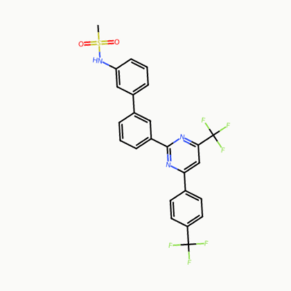 CS(=O)(=O)Nc1cccc(-c2cccc(-c3nc(-c4ccc(C(F)(F)F)cc4)cc(C(F)(F)F)n3)c2)c1